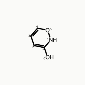 OC1=CC=CON1